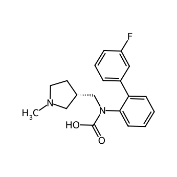 CN1CC[C@H](CN(C(=O)O)c2ccccc2-c2cccc(F)c2)C1